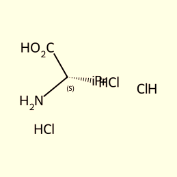 CC(C)[C@H](N)C(=O)O.Cl.Cl.Cl